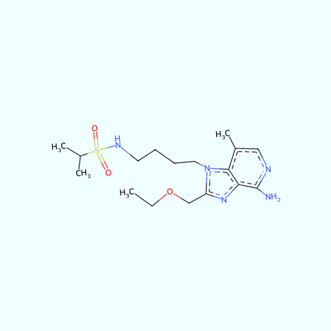 CCOCc1nc2c(N)ncc(C)c2n1CCCCNS(=O)(=O)C(C)C